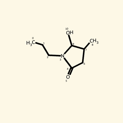 CCCN1C(=O)CC(C)C1O